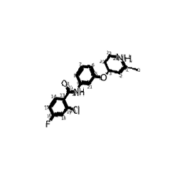 C[C@H]1C[C@@H](Oc2cccc(NC(=O)c3ccc(F)cc3Cl)c2)CCN1